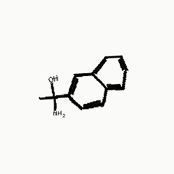 CC(N)(O)c1ccc2ccccc2c1